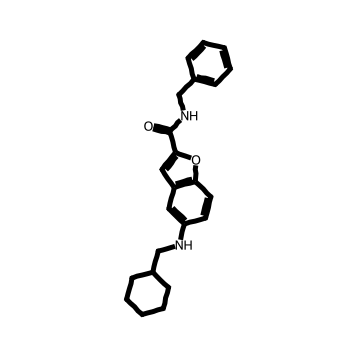 O=C(NCc1ccccc1)c1cc2cc(NCC3CCCCC3)ccc2o1